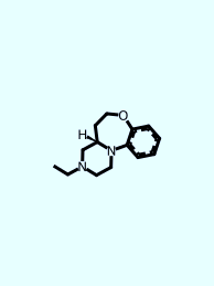 CCN1CCN2c3ccccc3OCC[C@H]2C1